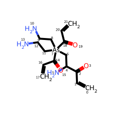 C=CC(=O)C(N)C[As](CCN)(CCN)(C(=O)C=C)C(=O)C=C